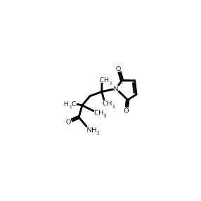 CC(C)(CC(C)(C)N1C(=O)C=CC1=O)C(N)=O